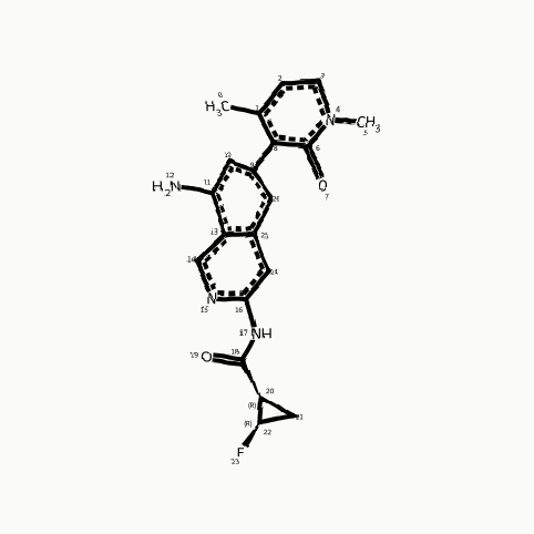 Cc1ccn(C)c(=O)c1-c1cc(N)c2cnc(NC(=O)[C@H]3C[C@H]3F)cc2c1